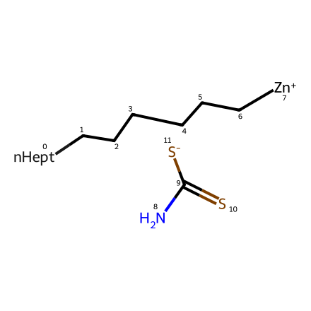 CCCCCCCCCCCC[CH2][Zn+].NC(=S)[S-]